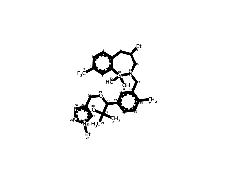 CCC1Cc2ccc(C(F)(F)F)cc2S(O)(O)N(Cc2cc(C(OCc3cn(CC)nn3)C(C)(C)C(=O)O)ccc2C)C1